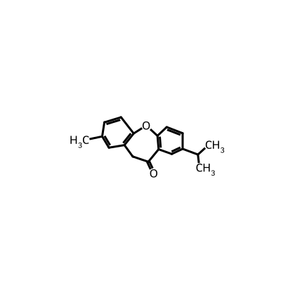 Cc1ccc2c(c1)CC(=O)c1cc(C(C)C)ccc1O2